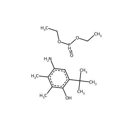 CCO[PH](=O)OCC.Cc1c(N)cc(C(C)(C)C)c(O)c1C